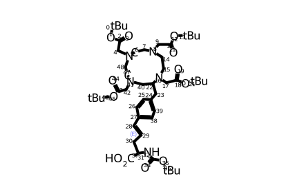 CC(C)(C)OC(=O)CN1CCN(CC(=O)OC(C)(C)C)CCN(CC(=O)OC(C)(C)C)C(Cc2ccc(/C=C/CC(NC(=O)OC(C)(C)C)C(=O)O)cc2)CN(CC(=O)OC(C)(C)C)CC1